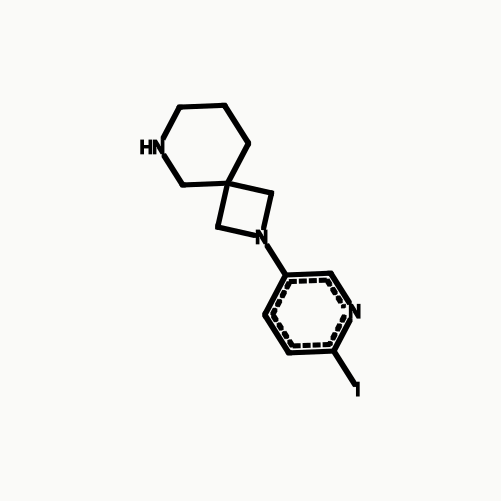 Ic1ccc(N2CC3(CCCNC3)C2)cn1